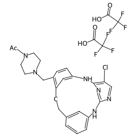 CC(=O)N1CCN(Cc2ccc3cc2CCc2cccc(c2)Nc2ncc(Cl)c(n2)N3)CC1.O=C(O)C(F)(F)F.O=C(O)C(F)(F)F